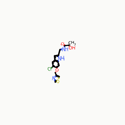 C[C@@H](O)C(=O)NCc1cc2cc(Cl)c(OCc3cscn3)cc2[nH]1